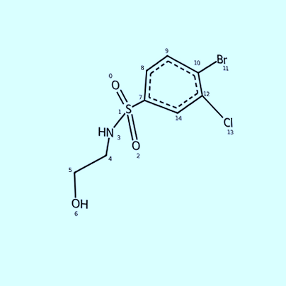 O=S(=O)(NCCO)c1ccc(Br)c(Cl)c1